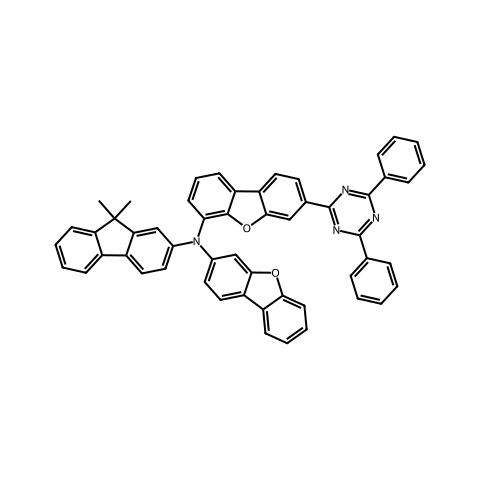 CC1(C)c2ccccc2-c2ccc(N(c3ccc4c(c3)oc3ccccc34)c3cccc4c3oc3cc(-c5nc(-c6ccccc6)nc(-c6ccccc6)n5)ccc34)cc21